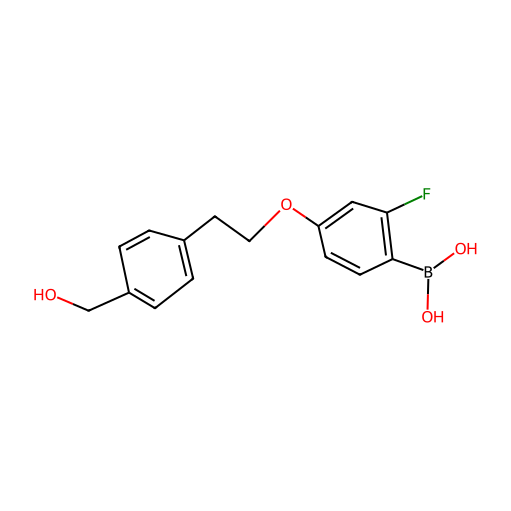 OCc1ccc(CCOc2ccc(B(O)O)c(F)c2)cc1